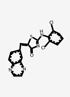 O=C1N=C(Nc2c(Cl)cccc2Cl)SC1=Cc1ccc2nccnc2c1